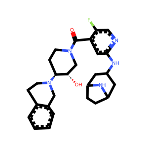 O=C(c1cc(NC2CC3CCC(C2)N3)ncc1F)N1CC[C@H](N2CCc3ccccc3C2)[C@@H](O)C1